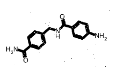 NC(=O)c1ccc(CNC(=O)c2ccc(N)cc2)cc1